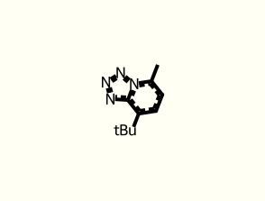 Cc1ccc(C(C)(C)C)c2nnnn12